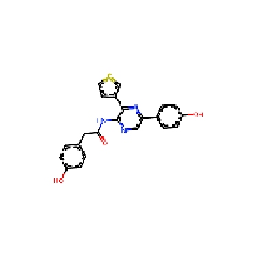 O=C(Cc1ccc(O)cc1)Nc1ncc(-c2ccc(O)cc2)nc1-c1ccsc1